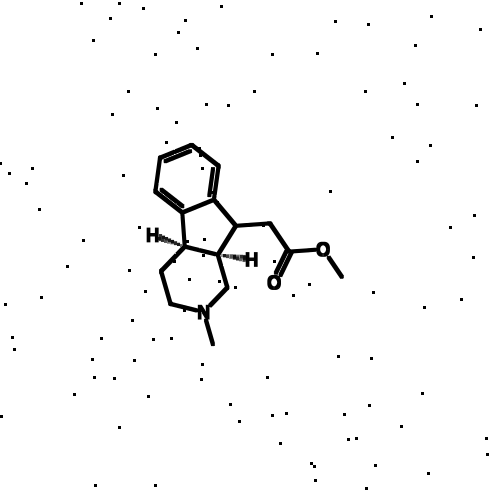 COC(=O)CC1c2ccccc2[C@@H]2CCN(C)C[C@H]12